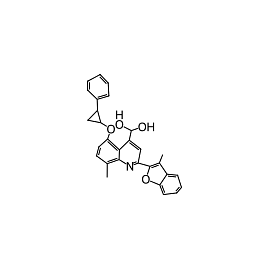 Cc1c(-c2cc(C(O)O)c3c(OC4CC4c4ccccc4)ccc(C)c3n2)oc2ccccc12